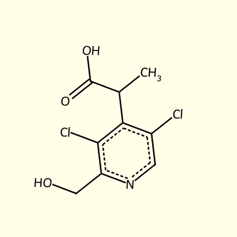 CC(C(=O)O)c1c(Cl)cnc(CO)c1Cl